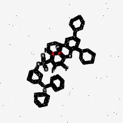 O=S(=O)(Oc1cccc([SH](c2ccccc2)c2ccccc2)c1)c1c(F)c(F)c(Oc2c(C3CCCCC3)cc(C3CCCCC3)cc2C2CCCCC2)c(F)c1F